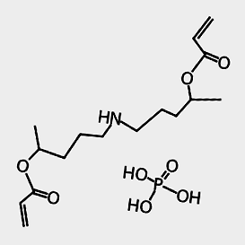 C=CC(=O)OC(C)CCCNCCCC(C)OC(=O)C=C.O=P(O)(O)O